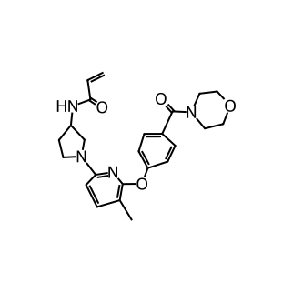 C=CC(=O)NC1CCN(c2ccc(C)c(Oc3ccc(C(=O)N4CCOCC4)cc3)n2)C1